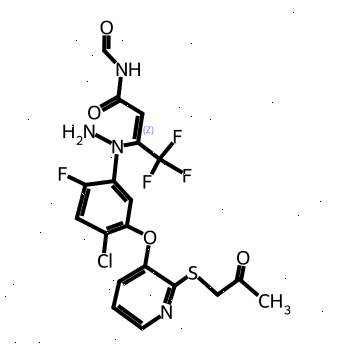 CC(=O)CSc1ncccc1Oc1cc(N(N)/C(=C\C(=O)NC=O)C(F)(F)F)c(F)cc1Cl